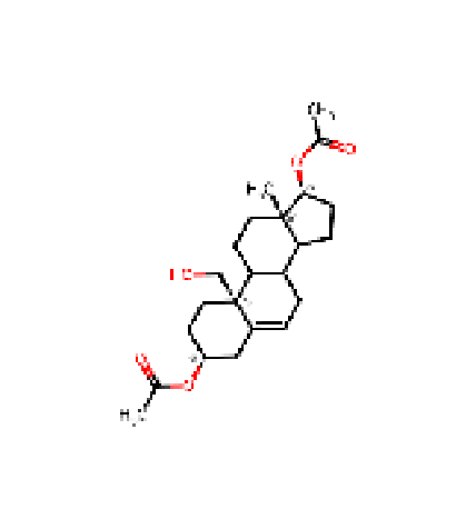 CC(=O)O[C@H]1CC[C@@]2(CO)C(=CCC3C2CC[C@@]2(C)C3CC[C@@H]2OC(C)=O)C1